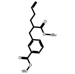 C=CCCC(Cc1cccc(C(=O)OC(C)(C)C)c1)C(=O)OC(C)(C)C